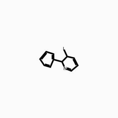 IC1C=CC=NC1c1ccccc1